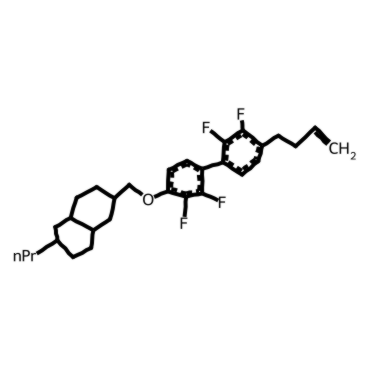 C=CCCc1ccc(-c2ccc(OCC3CCC4CC(CCC)CCC4C3)c(F)c2F)c(F)c1F